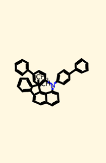 CC1(C)c2ccccc2-c2ccc3cccc(N(c4ccc(-c5ccccc5)cc4)c4ccc(-c5ccccc5)cc4)c3c21